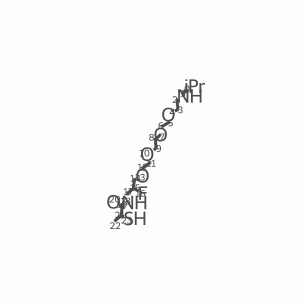 CC(C)NCCOCCOCCOCCOCC(F)CNC(=O)C(C)S